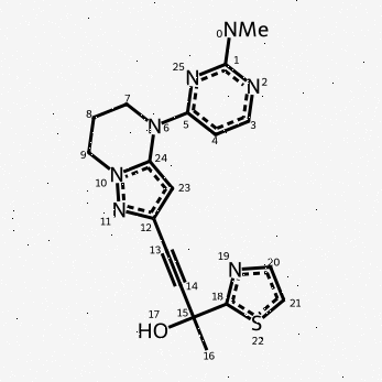 CNc1nccc(N2CCCn3nc(C#CC(C)(O)c4nccs4)cc32)n1